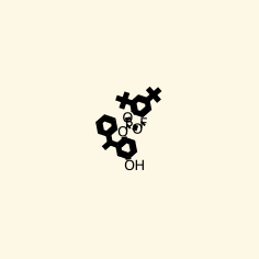 CC(c1ccccc1)c1cc(O)ccc1OP(OF)Oc1ccc(C(C)(C)C)cc1C(C)(C)C